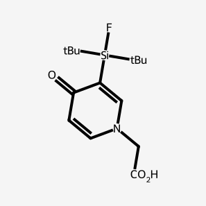 CC(C)(C)[Si](F)(c1cn(CC(=O)O)ccc1=O)C(C)(C)C